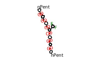 CCCCC[C@H]1CC[C@H](C(=O)Oc2ccc(C(=O)OC3CCC(C(=O)Oc4ccc(OC(=O)[C@H]5CC[C@H](OC(=O)c6ccc(OC(=O)[C@H]7CC[C@H](CCCCC)CC7)cc6)CC5)cc4-c4cc(F)cc(F)c4)CC3)cc2)CC1